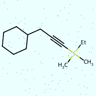 CCS(C)(C)C#CCC1CCCCC1